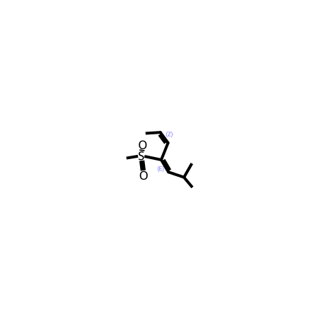 C/C=C\C(=C/C(C)C)S(C)(=O)=O